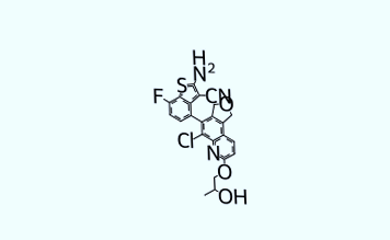 CC(O)COc1ccc2c3c(c(-c4ccc(F)c5sc(N)c(C#N)c45)c(Cl)c2n1)COC3